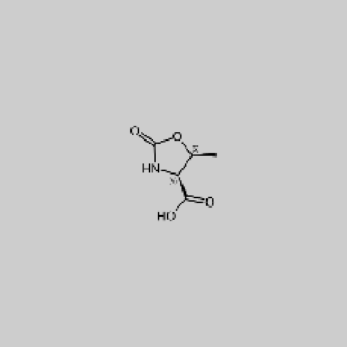 C[C@@H]1OC(=O)N[C@@H]1C(=O)O